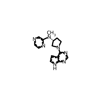 CN(c1cnccn1)[C@@H]1CCN(c2ncnc3[nH]ccc23)C1